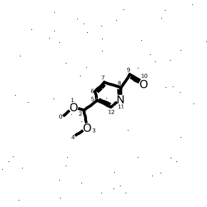 COC(OC)c1ccc(C=O)nc1